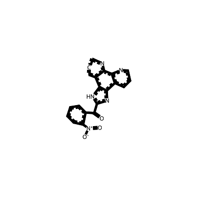 O=C(c1nc2c3cccnc3c3ncccc3c2[nH]1)c1ccccc1[N+](=O)[O-]